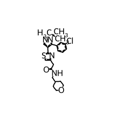 CC(C)(C)n1ncc(-c2nc(CC(=O)NCC3CCOCC3)cs2)c1-c1cccc(Cl)c1